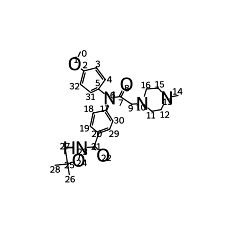 COc1ccc(N(C(=O)CN2CCN(C)CC2)c2ccc(C(=O)NOC(C)(C)C)cc2)cc1